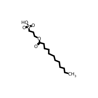 CCCCCCCCCCCC(=O)OCCCS(=O)(=O)O